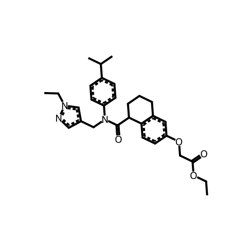 CCOC(=O)COc1ccc2c(c1)CCCC2C(=O)N(Cc1cnn(CC)c1)c1ccc(C(C)C)cc1